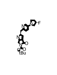 CC(C)(C)OC(=O)N1CC2=N[C@@H](Cc3ccc(N4CC[C@H](F)C4)cn3)C=C2C1=O